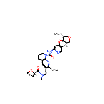 CO[C@@H]1COCC[C@H]1Oc1cc(NC(=O)N2CCCc3cc(CN(C)C(=O)[C@H]4CCCO4)c(C=O)nc32)ncc1C#N